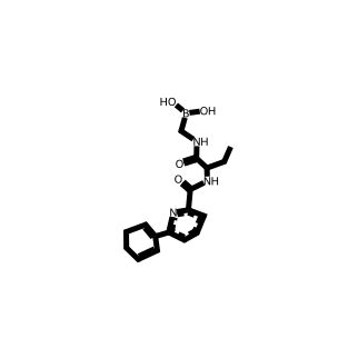 CCC(NC(=O)c1cccc(C2=CCCC=C2)n1)C(=O)NCB(O)O